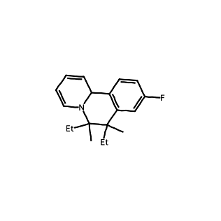 CCC1(C)c2cc(F)ccc2C2C=CC=CN2C1(C)CC